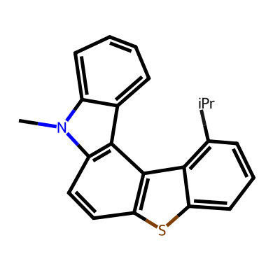 CC(C)c1cccc2sc3ccc4c(c5ccccc5n4C)c3c12